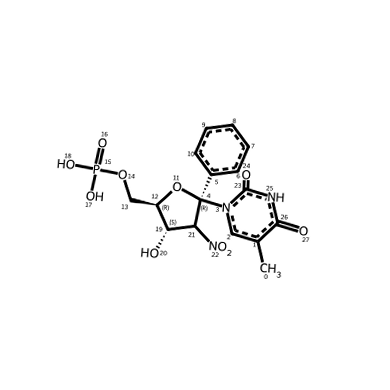 Cc1cn([C@]2(c3ccccc3)O[C@H](COP(=O)(O)O)[C@@H](O)C2[N+](=O)[O-])c(=O)[nH]c1=O